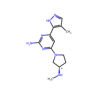 CN[C@@H]1CCN(c2cc(-c3[nH]ncc3C)nc(N)n2)C1